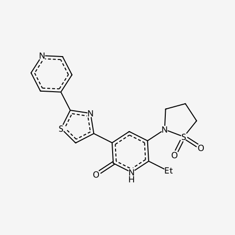 CCc1[nH]c(=O)c(-c2csc(-c3ccncc3)n2)cc1N1CCCS1(=O)=O